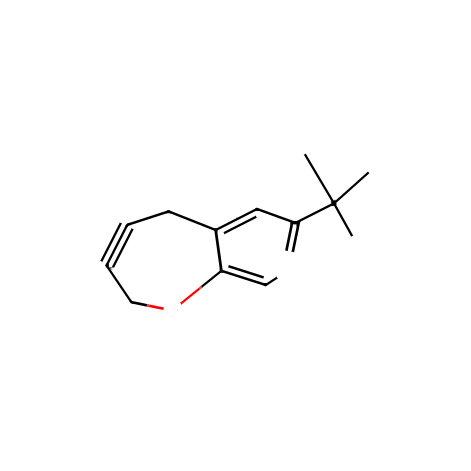 C=C(/C=C1/CC#CCO/C1=C/C)C(C)(C)C